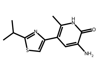 Cc1[nH]c(=O)c(N)cc1-c1csc(C(C)C)n1